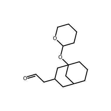 O=CCC1CC2CCCC(OC3CCCCO3)(C1)C2